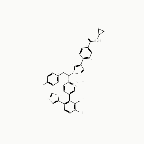 O=C(NC1CC1)c1ccc(-c2cnn(C(Cc3ccc(F)cc3)c3ccc(-c4c(-c5cnco5)ccc(Cl)c4F)c[n+]3O)c2)cc1